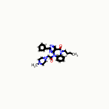 CCCCN1C(=O)c2cnc(-c3ccccc3)nc2N(C(=O)CN2CCN(C)CC2)c2ccccc21